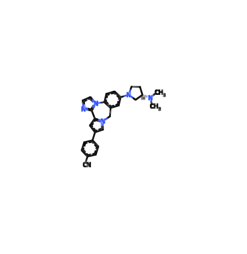 CN(C)[C@H]1CCN(c2ccc3c(c2)Cn2cc(-c4ccc(C#N)cc4)cc2-c2nccn2-3)C1